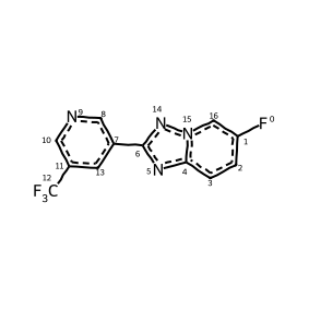 Fc1ccc2nc(-c3cncc(C(F)(F)F)c3)nn2c1